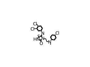 CN(CCn1c(=O)[nH]sc1=Nc1ccc(Cl)c(Cl)c1)c1ccc(Cl)cc1